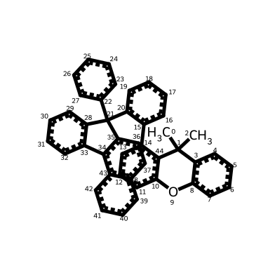 CC1(C)c2ccccc2Oc2cccc(-c3ccccc3C3(c4ccccc4)c4ccccc4-c4c3ccc3ccccc43)c21